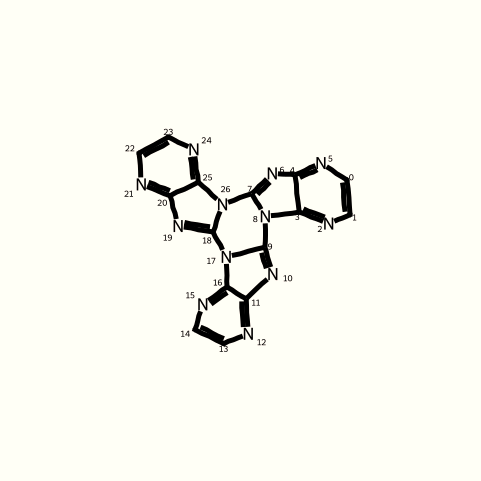 c1cnc2c(n1)nc1n2c2nc3nccnc3n2c2nc3nccnc3n12